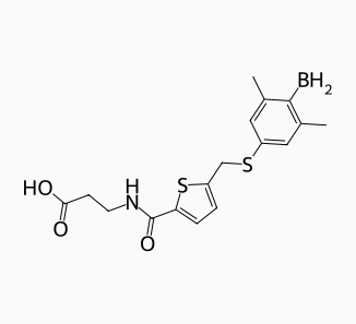 Bc1c(C)cc(SCc2ccc(C(=O)NCCC(=O)O)s2)cc1C